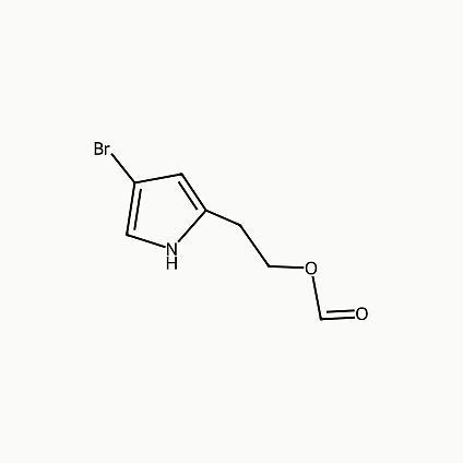 O=COCCc1cc(Br)c[nH]1